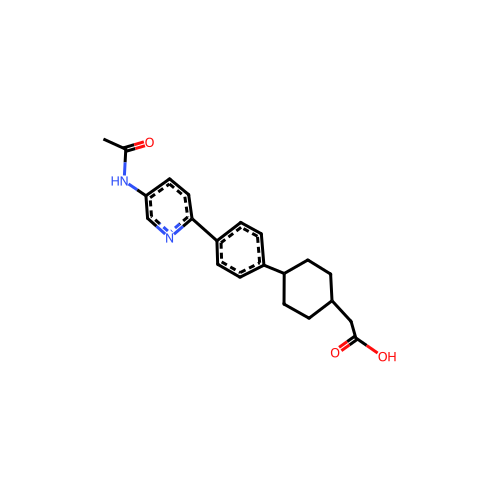 CC(=O)Nc1ccc(-c2ccc(C3CCC(CC(=O)O)CC3)cc2)nc1